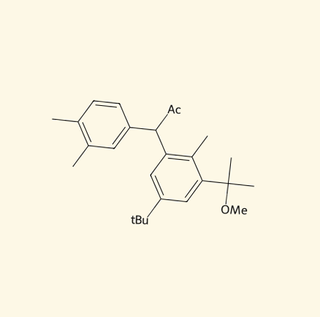 COC(C)(C)c1cc(C(C)(C)C)cc(C(C(C)=O)c2ccc(C)c(C)c2)c1C